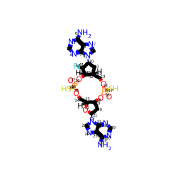 Nc1ncnc2c1ncn2[C@@H]1C[C@@H]2COP(=O)(S)OC3C[C@H](n4cnc5c(N)ncnc54)O[C@@H]3COP(=O)(S)O[C@@H]2C1F